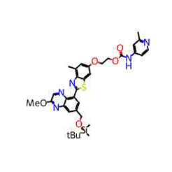 COc1cnc2c(-c3nc4c(C)cc(OCCOC(=O)Nc5ccnc(C)c5)cc4s3)cc(CO[Si](C)(C)C(C)(C)C)cc2n1